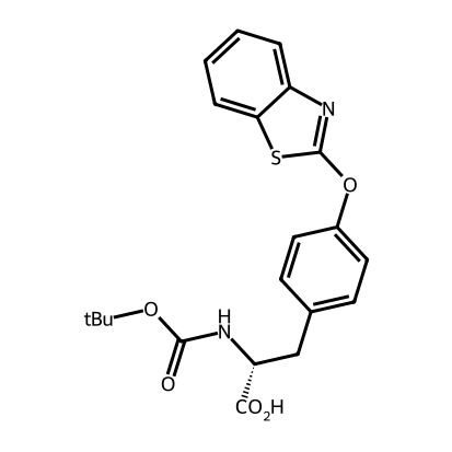 CC(C)(C)OC(=O)N[C@H](Cc1ccc(Oc2nc3ccccc3s2)cc1)C(=O)O